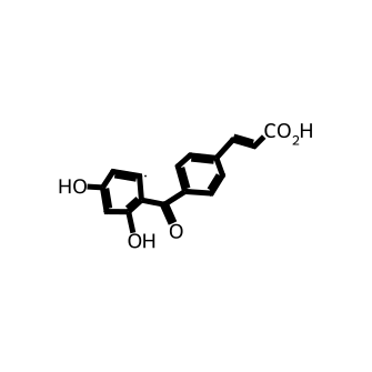 O=C(O)/C=C/c1ccc(C(=O)c2[c]cc(O)cc2O)cc1